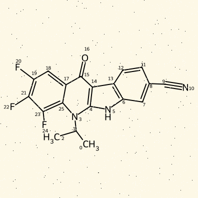 CC(C)n1c2[nH]c3cc(C#N)ccc3c2c(=O)c2cc(F)c(F)c(F)c21